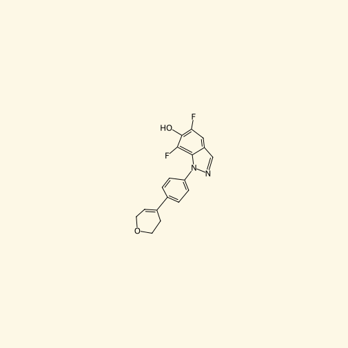 Oc1c(F)cc2cnn(-c3ccc(C4=CCOCC4)cc3)c2c1F